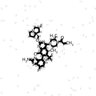 C=CC(=O)N1C[C@H](C)N(c2nc(OC[C@@]34CCCN3C[C@H](F)C4)nc3c(Cl)c(-c4ccc(F)c5sc(N)nc45)c(C(F)(F)F)cc23)C[C@H]1C